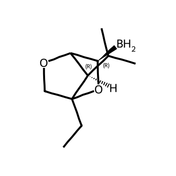 B[C@H]1OC2(CC)COC1[C@H]2C(C)C